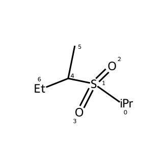 [CH2]C(C)S(=O)(=O)C(C)CC